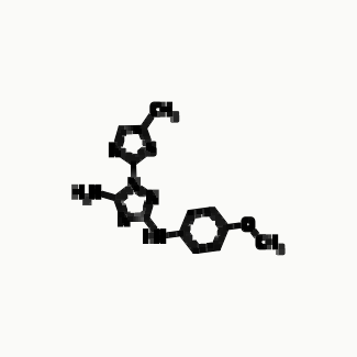 COc1ccc(Nc2nc(N)n(-c3ncc(C)s3)n2)cc1